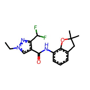 CCn1cc(C(=O)Nc2cccc3c2OC(C)(C)C3)c(C(F)F)n1